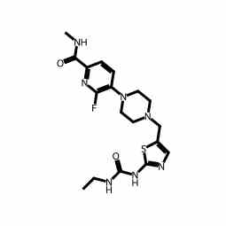 CCNC(=O)Nc1ncc(CN2CCN(c3ccc(C(=O)NC)nc3F)CC2)s1